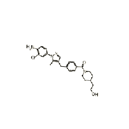 Cc1c(Cc2ccc(C(=O)N3CCC(CCO)CC3)cc2)cnn1-c1ccc(N)c(Cl)c1